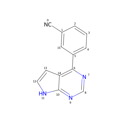 N#Cc1cccc(-c2ncnc3[nH]ccc23)c1